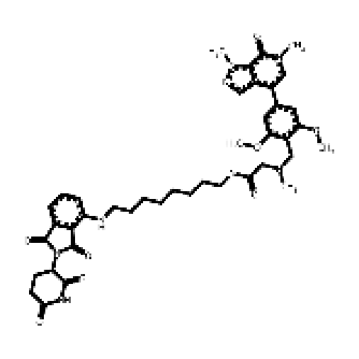 COc1cc(-c2cn(C)c(=O)c3c2cnn3C)cc(OC)c1CN(C)CC(=O)NCCCCCCCCNc1cccc2c1C(=O)N(C1CCC(=O)NC1=O)C2=O